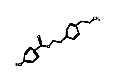 CCCc1ccc(CCOC(=O)c2ccc(O)cc2)cc1